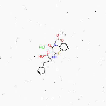 COC(=O)CN1C(=O)CC(N[C@@H](CCc2ccccc2)C(=O)O)Sc2ccccc21.Cl